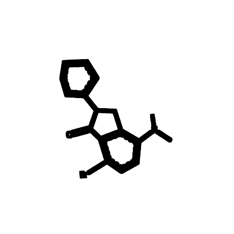 CN(C)c1ccc(Br)c2c1CC(c1ccccc1)C2=O